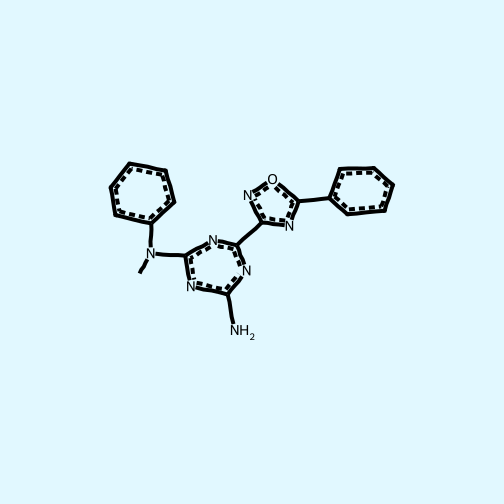 CN(c1ccccc1)c1nc(N)nc(-c2noc(-c3ccccc3)n2)n1